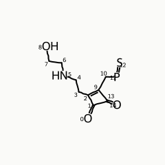 O=c1c(CCNCCO)c(CP=S)c1=O